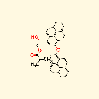 C=C(C)C(=O)OCCO.c1cc2ccc3ccc(Oc4ccc5ccc6cccc7ccc4c5c67)c4ccc(c1)c2c34